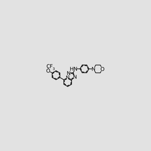 FC(F)(F)Oc1ccc(-c2cccc3nc(Nc4ccc(N5CCOCC5)cc4)nn23)cc1